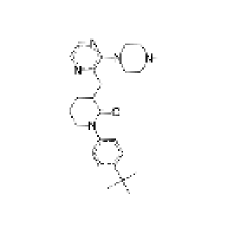 CN1CCN(c2nccnc2CC2CCCN(c3ccc(C(C)(C)C)cc3)C2=O)CC1